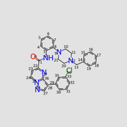 O=C(Nc1ccccc1N1CCN(Cc2ccccc2)CC1)c1ccn2ncc(-c3cccc(Cl)c3)c2n1